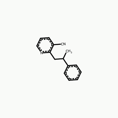 CC(Cc1ncccc1C#N)c1ccccc1